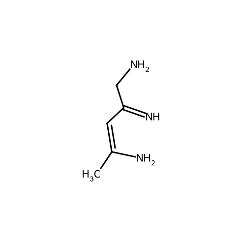 C/C(N)=C/C(=N)CN